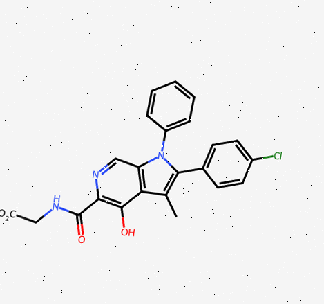 Cc1c(-c2ccc(Cl)cc2)n(-c2ccccc2)c2cnc(C(=O)NCC(=O)O)c(O)c12